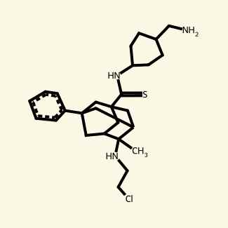 CC1(NCCCl)C2CC3(C(=S)NC4CCC(CN)CC4)CC1CC(c1ccccc1)(C2)C3